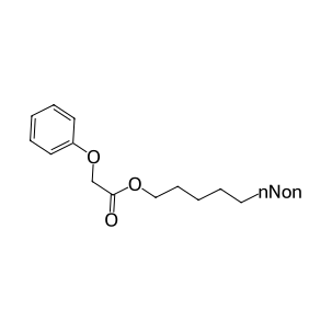 CCCCCCCCCCCCCCOC(=O)COc1ccccc1